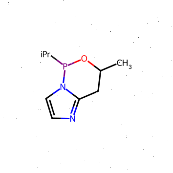 CC1Cc2nccn2P(C(C)C)O1